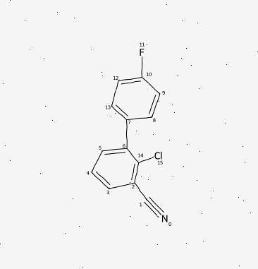 N#Cc1cccc(-c2ccc(F)cc2)c1Cl